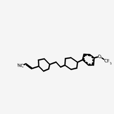 N#CC=CC1CCC(CCC2CCC(c3ccc(OC(F)(F)F)cc3)CC2)CC1